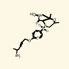 CC(N)C#CCOc1ccc(S(=O)(=O)N2CC(C)OC(C)(C)C2C(=O)NO)cc1